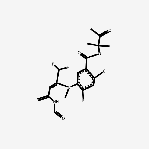 C=C(/C=C(/C(F)F)N(C)c1cc(C(=O)OC(C)(C)C(C)=O)c(Cl)cc1F)NC=O